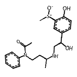 CC(=O)N(CCC(C)NCC(O)c1ccc(O)c([S+](C)[O-])c1)c1ccccc1